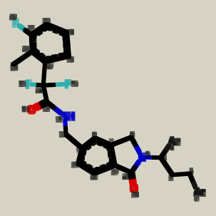 CC(=O)CCC(C(C)=O)N1Cc2cc(CNC(=O)C(F)(F)c3cccc(F)c3C)ccc2C1=O